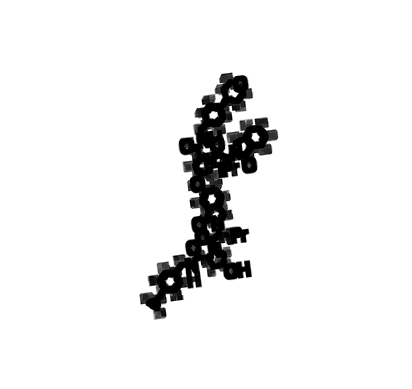 CC(C)[C@@H](C(=O)N1C[C@H](O)C[C@H]1C(=O)NCc1ccc(C2CC2)cc1)N1Cc2ccc(O[C@@H]3C[C@@H](C(=O)NCc4ccc(C5CCOCC5)cc4)N(C(=O)[C@H](C(C)C)N4Cc5ccccc5C4=O)C3)cc2C1=O